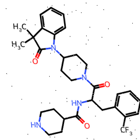 CC1(C)C(=O)N(C2CCN(C(=O)C(Cc3ccccc3C(F)(F)F)NC(=O)C3CCNCC3)CC2)c2ccccc21